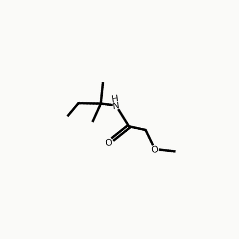 CCC(C)(C)NC(=O)COC